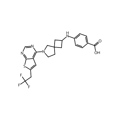 O=C(O)c1ccc(NC2CC3(CCN(c4ncnc5sc(CC(F)(F)F)cc45)C3)C2)cc1